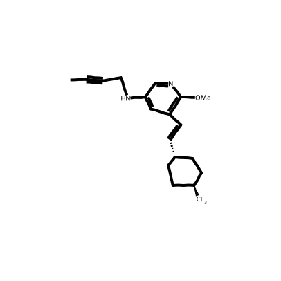 CC#CCNc1cnc(OC)c(/C=C/[C@H]2CC[C@H](C(F)(F)F)CC2)c1